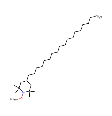 CCCCCCON1C(C)(C)CC(CCCCCCCCCCCCCCCCCC(=O)O)CC1(C)C